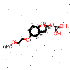 CCCOCCOc1ccc2oc(OB(O)O)cc2c1